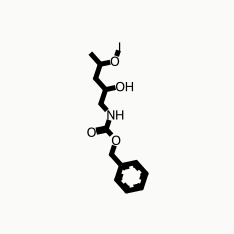 CC(CC(O)CNC(=O)OCc1ccccc1)OI